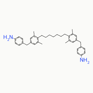 Cc1cc(Cc2ccc(N)cc2)cc(C)c1CCCCCCCc1c(C)cc(Cc2ccc(N)cc2)cc1C